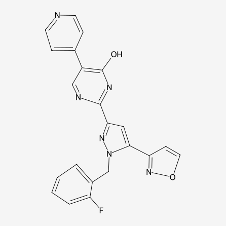 Oc1nc(-c2cc(-c3ccon3)n(Cc3ccccc3F)n2)ncc1-c1ccncc1